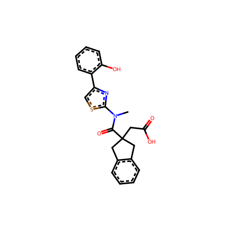 CN(C(=O)C1(CC(=O)O)Cc2ccccc2C1)c1nc(-c2ccccc2O)cs1